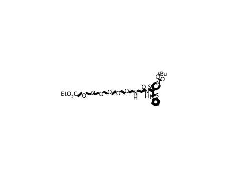 CCOC(=O)CCOCCOCCOCCOCCOCCOCCNCCC(=O)Nc1sc2c(c1-c1nc3ccccc3s1)CCN(C(=O)OC(C)(C)C)C2